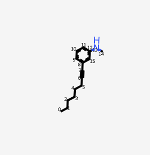 CCCCCCC#Cc1cccc(NC)c1